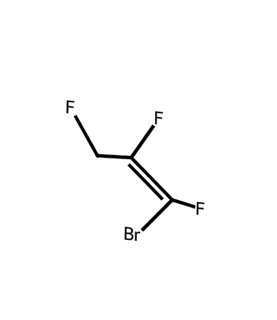 FCC(F)=C(F)Br